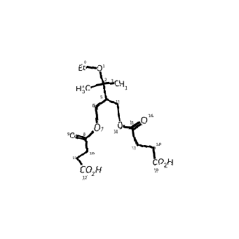 CCOC(C)(C)C(COC(=O)CCC(=O)O)COC(=O)CCC(=O)O